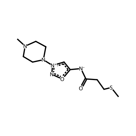 CSCCC(=O)[N-]c1c[n+](N2CCN(C)CC2)no1